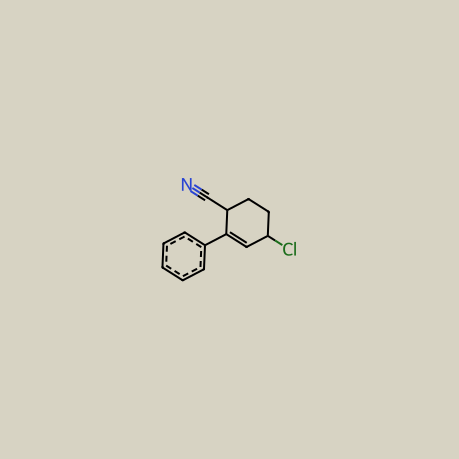 N#CC1CCC(Cl)C=C1c1ccccc1